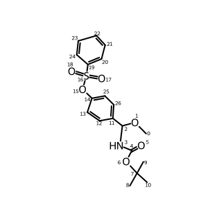 COC(NC(=O)OC(C)(C)C)c1ccc(OS(=O)(=O)c2ccccc2)cc1